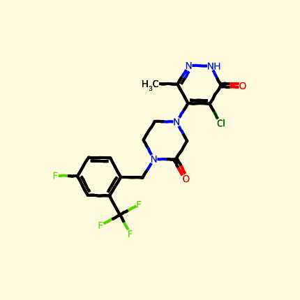 Cc1n[nH]c(=O)c(Cl)c1N1CCN(Cc2ccc(F)cc2C(F)(F)F)C(=O)C1